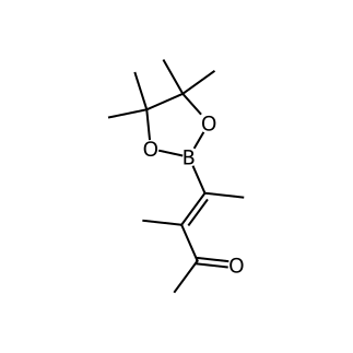 CC(=O)/C(C)=C(\C)B1OC(C)(C)C(C)(C)O1